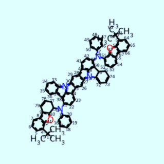 CC(C)(C)c1cccc2c3c(oc12)C(N(c1ccccc1)c1ccc2c4cc5c(cc4n4c6ccccc6c1c24)c1ccc(N(c2ccccc2)c2cccc4c2oc2c(C(C)(C)C)cccc24)c2c1n5C1=CC=CCC12)CC=C3